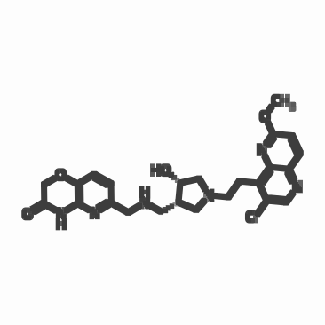 COc1ccc2ncc(Cl)c(CCN3C[C@H](CNCc4ccc5c(n4)NC(=O)CO5)[C@H](O)C3)c2n1